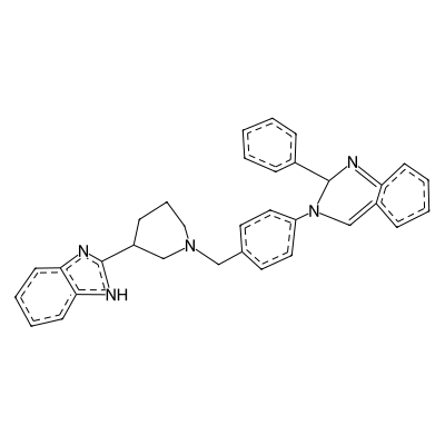 C1=c2ccccc2=NC(c2ccccc2)N1c1ccc(CN2CCCC(c3nc4ccccc4[nH]3)C2)cc1